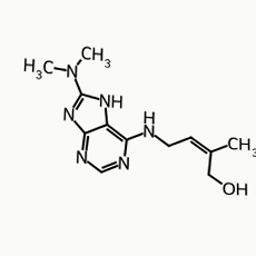 CC(=CCNc1ncnc2nc(N(C)C)[nH]c12)CO